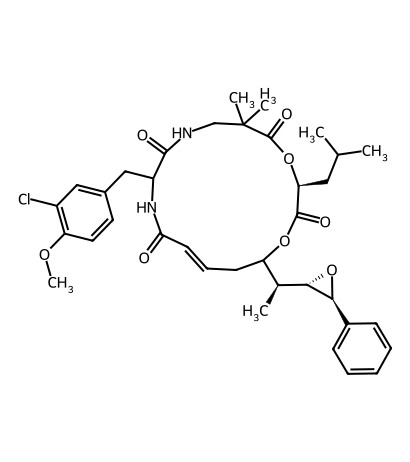 COc1ccc(CC2NC(=O)/C=C/CC([C@H](C)[C@@H]3O[C@H]3c3ccccc3)OC(=O)[C@H](CC(C)C)OC(=O)C(C)(C)CNC2=O)cc1Cl